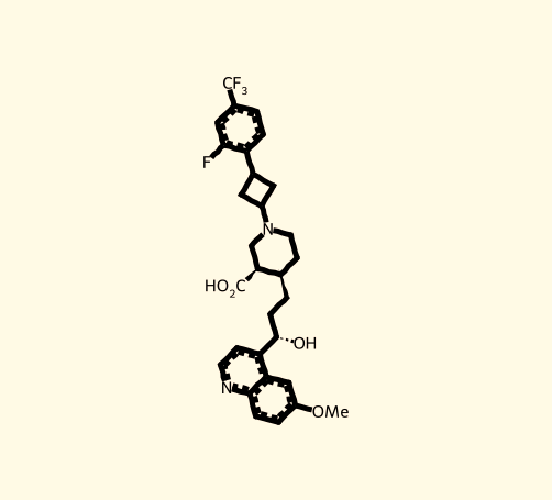 COc1ccc2nccc([C@@H](O)CC[C@@H]3CCN(C4CC(c5ccc(C(F)(F)F)cc5F)C4)C[C@@H]3C(=O)O)c2c1